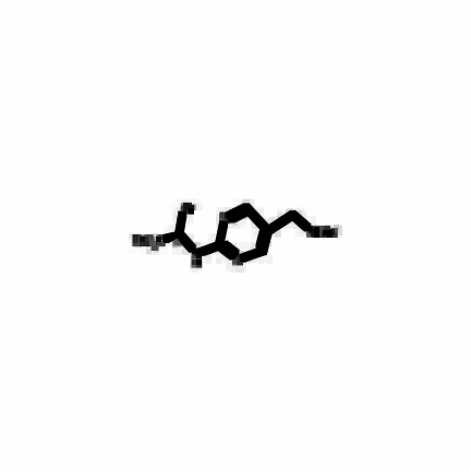 CCOC(=O)[C@H](Nc1ncc(CNC(C)=O)cn1)C(C)C